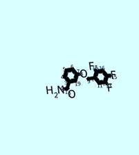 NC(=O)c1cccc(OCc2cc(F)c(F)cc2F)c1